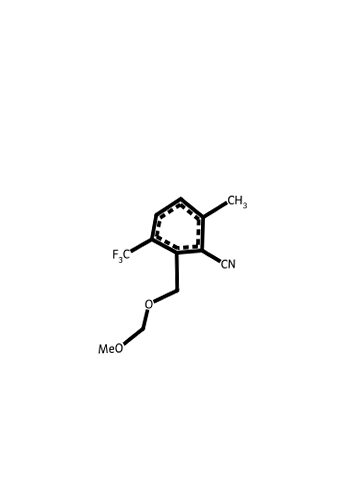 COCOCc1c(C(F)(F)F)ccc(C)c1C#N